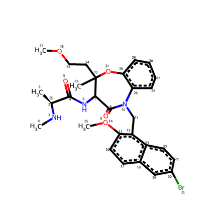 CN[C@@H](C)C(=O)NC1C(=O)N(Cc2c(OC)ccc3cc(Br)ccc23)c2ccccc2OC1(C)CCOC